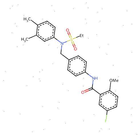 CCS(=O)(=O)N(Cc1ccc(NC(=O)c2cc(F)ccc2OC)cc1)c1ccc(C)c(C)c1